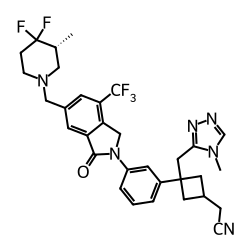 C[C@@H]1CN(Cc2cc3c(c(C(F)(F)F)c2)CN(c2cccc(C4(Cc5nncn5C)CC(CC#N)C4)c2)C3=O)CCC1(F)F